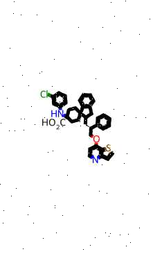 O=C(O)C1(Nc2cccc(Cl)c2)CCC2(CC1)c1ccccc1CC2C[C@@H](COc1ccnc2ccsc12)c1ccccc1